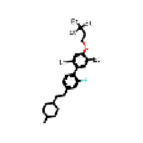 CCc1cc(-c2ccc(CCC3CCC(C)CC3)cc2F)c(CC)cc1OCCC(CC)(CC)CC